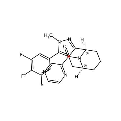 Cn1nc2c(c1-c1cc(F)c(F)c(F)c1)C[C@@H]1CCC[C@H]2N1C(=O)c1cnccn1